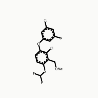 COCc1c(SC(F)F)ccc(Oc2cc(F)cc(Cl)c2)c1Cl